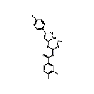 Cc1ccc(C(=O)/N=C(\NC2CC(c3ccc(F)cc3)NN2)NC(C)(C)C)cc1F